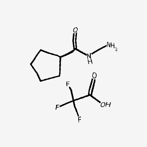 NNC(=O)C1CCCC1.O=C(O)C(F)(F)F